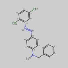 CCN(Cc1ccccc1)c1ccc(/N=N/c2cc(Cl)ccc2Cl)cc1